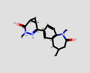 CC1CC(=O)N(C)c2ccc(C3=NN(C)C(=O)C4CC34)cc2C1